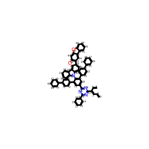 C=C/C=C(\C=C)c1nc(-c2ccccc2)nc(-c2cc(-c3ccc(-c4ccccc4)cc3)c(-n3c4ccccc4c4c5oc6cc7oc8ccccc8c7cc6c5ccc43)c(-c3ccc(-c4ccccc4)cc3)c2)n1